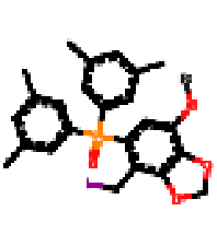 CCOc1cc(P(=O)(c2cc(C)cc(C)c2)c2cc(C)cc(C)c2)c(CI)c2c1OCO2